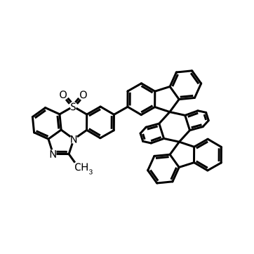 Cc1nc2cccc3c2n1-c1ccc(-c2ccc4c(c2)C2(c5ccccc5-4)c4ccccc4C4(c5ccccc5-c5ccccc54)c4ccccc42)cc1S3(=O)=O